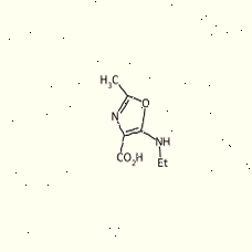 CCNc1oc(C)nc1C(=O)O